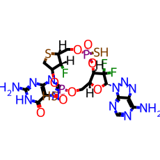 Nc1nc2c(ncn2[C@@]23CS[C@H](COP(=O)(S)O[C@@H]4[C@@H](COP(=O)(S)O2)O[C@@H](n2nnc5c(N)ncnc52)C4(F)F)[C@@H]3F)c(=O)[nH]1